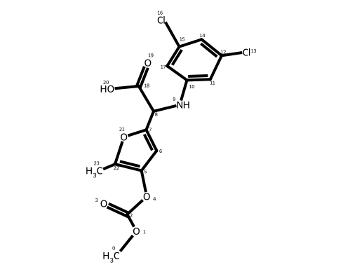 COC(=O)Oc1cc(C(Nc2cc(Cl)cc(Cl)c2)C(=O)O)oc1C